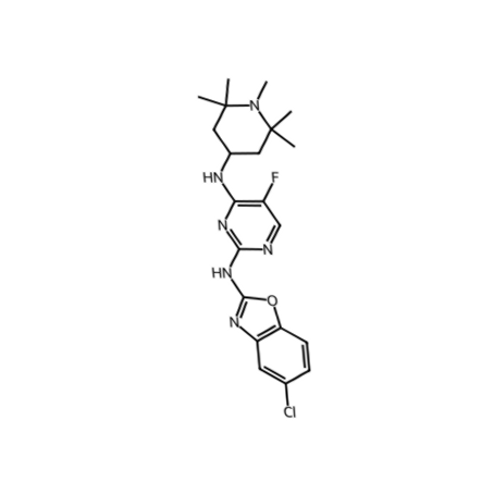 CN1C(C)(C)CC(Nc2nc(Nc3nc4cc(Cl)ccc4o3)ncc2F)CC1(C)C